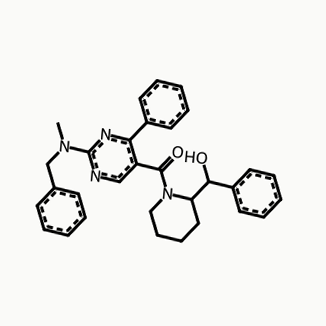 CN(Cc1ccccc1)c1ncc(C(=O)N2CCCCC2C(O)c2ccccc2)c(-c2ccccc2)n1